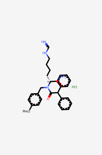 COc1ccc(CN(C(=O)C(c2ccccc2)c2ccccc2)[C@H](CCCCNC=N)C(N)=O)cc1.Cl